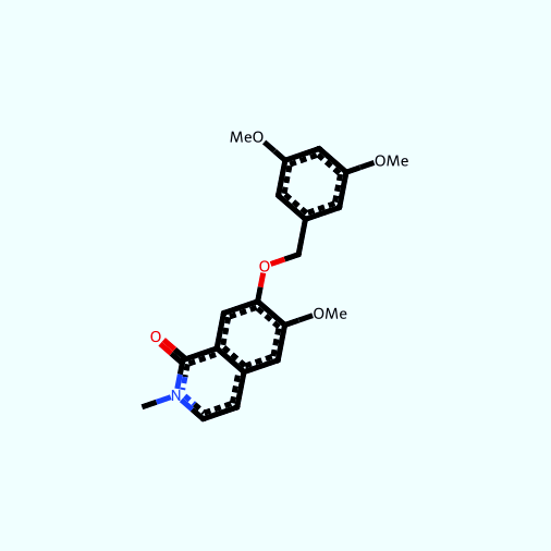 COc1cc(COc2cc3c(=O)n(C)ccc3cc2OC)cc(OC)c1